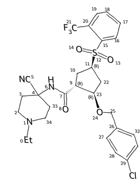 CCN1CCC(C#N)(NC(=O)[C@@H]2C[C@@H](S(=O)(=O)c3ccccc3C(F)(F)F)C[C@H]2OCc2ccc(Cl)cc2)CC1